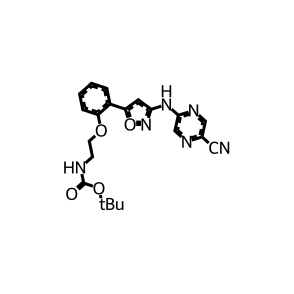 CC(C)(C)OC(=O)NCCOc1ccccc1-c1cc(Nc2cnc(C#N)cn2)no1